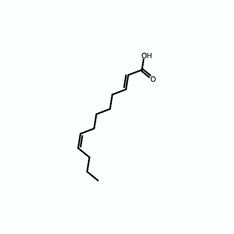 CCC/C=C\CCCC/C=C/C(=O)O